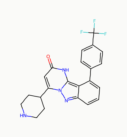 O=c1cc(C2CCNCC2)n2nc3cccc(-c4ccc(C(F)(F)F)cc4)c3c2[nH]1